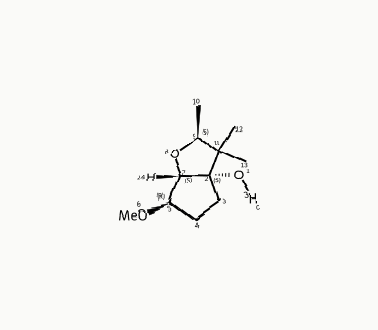 [3H]O[C@]12CC[C@@H](OC)[C@@H]1O[C@@H](C)C2(C)C